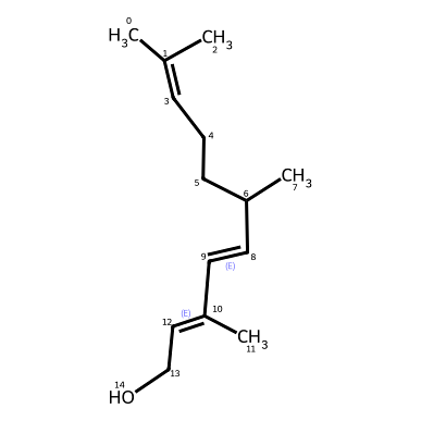 CC(C)=CCCC(C)/C=C/C(C)=C/CO